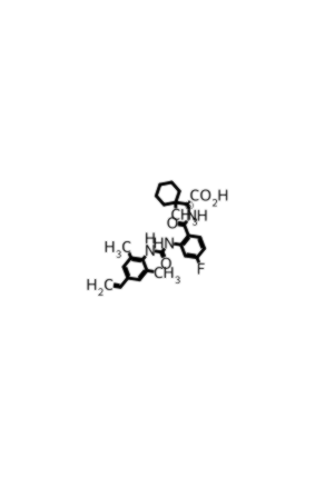 C=Cc1cc(C)c(NC(=O)Nc2cc(F)ccc2C(=O)N[C@H](C(=O)O)C2(C)CCCCC2)c(C)c1